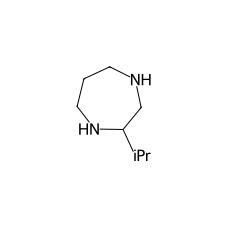 CC(C)C1CNCCCN1